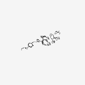 C[C@H]1O[C@@H](n2cnc3c(OCCc4ccc(OCF)cc4)ncnc32)[C@H](O)[C@@H]1O